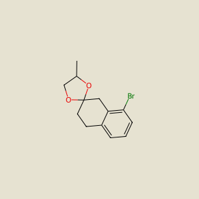 CC1COC2(CCc3cccc(Br)c3C2)O1